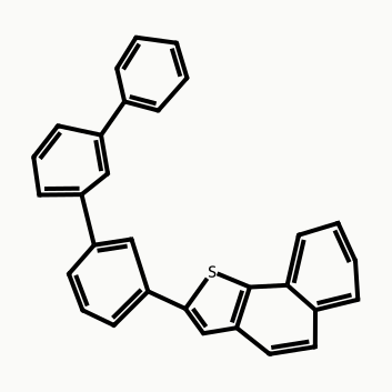 c1ccc(-c2cccc(-c3cccc(-c4cc5ccc6ccccc6c5s4)c3)c2)cc1